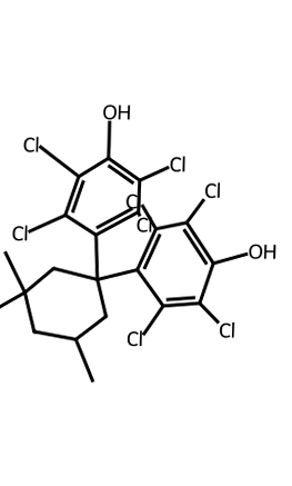 CC1CC(C)(C)CC(c2c(Cl)c(Cl)c(O)c(Cl)c2Cl)(c2c(Cl)c(Cl)c(O)c(Cl)c2Cl)C1